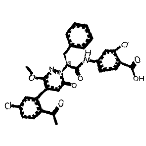 COc1nn([C@@H](Cc2ccccc2)C(=O)Nc2ccc(C(=O)O)c(Cl)c2)c(=O)cc1-c1cc(Cl)ccc1C(C)=O